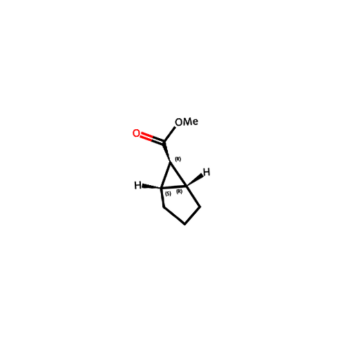 COC(=O)[C@H]1[C@@H]2CCC[C@@H]21